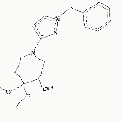 COC1(OC)CCN(c2ccn(Cc3ccccc3)n2)CC1O